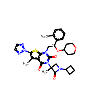 COc1ccccc1[C@H](Cn1c(=O)n(C2(C)CN(C3CCC3)C2=O)c(=O)c2c(C)c(-n3nccn3)sc21)OC1CCOCC1